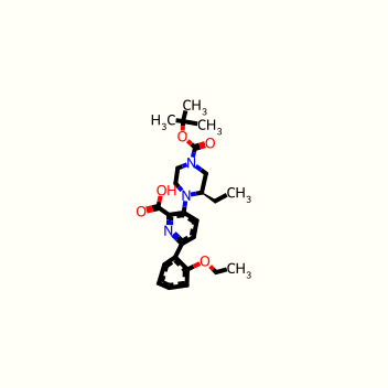 CCOc1ccccc1-c1ccc(N2CCN(C(=O)OC(C)(C)C)C[C@H]2CC)c(C(=O)O)n1